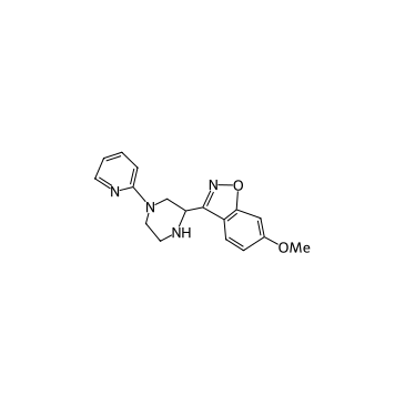 COc1ccc2c(C3CN(c4ccccn4)CCN3)noc2c1